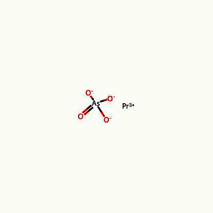 O=[As]([O-])([O-])[O-].[Pr+3]